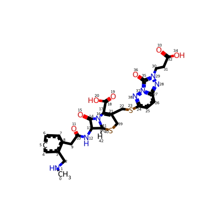 CNCc1ccccc1CC(=O)NC1C(=O)N2C(C(=O)O)=C(CSc3ccc4nn(CCC(=O)O)c(=O)n4n3)CS[C@@H]12